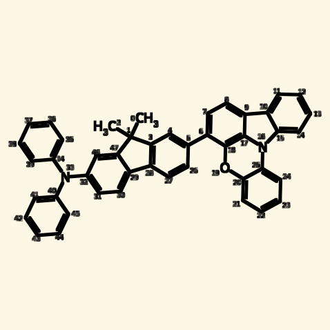 CC1(C)c2cc(-c3ccc4c5ccccc5n5c4c3Oc3ccccc3-5)ccc2-c2ccc(N(c3ccccc3)c3ccccc3)cc21